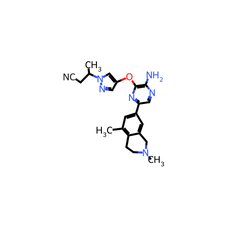 Cc1cc(-c2cnc(N)c(Oc3cnn(C(C)CC#N)c3)n2)cc2c1CCN(C)C2